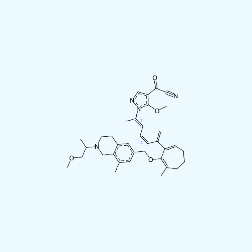 C=C(/C=C\C=C(/C)n1ncc(C(=O)C#N)c1OC)C1=CCCCC(C)=C1OCc1cc(C)c2c(c1)CCN(C(C)COC)C2